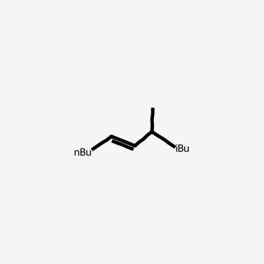 CCCCC=CC(C)C(C)CC